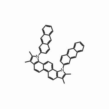 Cc1c(C)n(-c2ccc3cc4ccccc4cc3c2)c2c1ccc1c3ccc4c(C)c(C)n(-c5ccc6cc7ccccc7cc6c5)c4c3ccc12